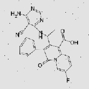 CC(Nc1ncnc(N)c1C#N)c1c(-c2ccccc2)c(=O)n2cc(F)ccc2c1C(=O)O